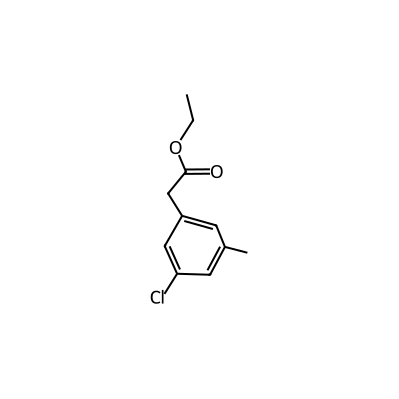 CCOC(=O)Cc1cc(C)cc(Cl)c1